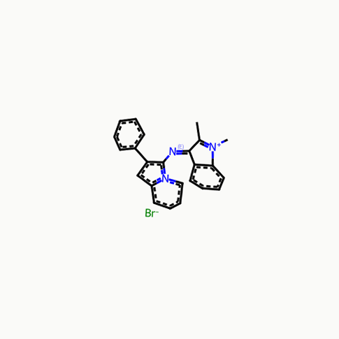 CC1=[N+](C)c2ccccc2/C1=N\c1c(-c2ccccc2)cc2ccccn12.[Br-]